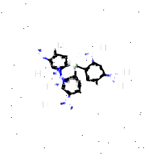 Cc1cc([Si](Cl)(c2cc(C)c(N(C)C)cc2N(C)C)c2cc(C)c(N(C)C)cc2N(C)C)c(N(C)C)cc1N(C)C